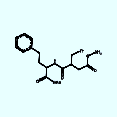 CNC(=O)C(CCc1ccccc1)NC(=O)C(CC(=O)ON)CC(C)C